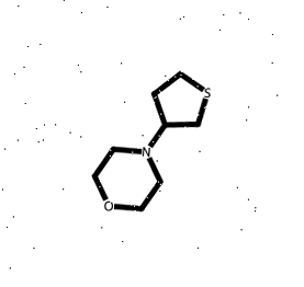 C1CN(C2CCSC2)CCO1